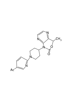 CC(=O)c1ccc(N2CCC(N3C(=O)OC(C)c4nccnc43)CC2)nc1